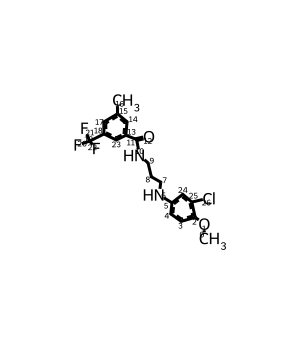 COc1ccc(NCCCNC(=O)c2cc(C)cc(C(F)(F)F)c2)cc1Cl